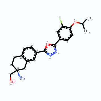 CC(C)Oc1ccc(-c2nnc(-c3ccc4c(c3)C[C@](N)(CO)CC4)o2)cc1F